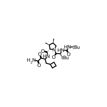 C[C@@H]1[C@@H](C(=O)NC(CC2CCC2)C(=O)C(N)=O)N(C(=O)[C@@H](NC(=O)NC(C)(C)C)C(C)(C)C)C[C@@H]1C